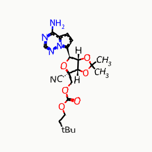 CC(C)(C)CCOC(=O)OC[C@@]1(C#N)O[C@@H](c2ccc3c(N)ncnn23)[C@@H]2OC(C)(C)O[C@@H]21